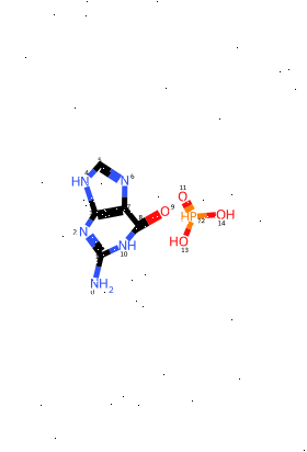 Nc1nc2[nH]cnc2c(=O)[nH]1.O=[PH](O)O